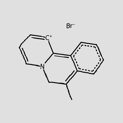 CC1=c2ccccc2=C2[C+]=CC=CN2C1.[Br-]